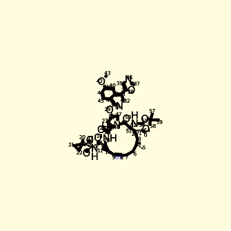 CC[C@@H]1C[C@H](C)CC/C=C\C2C[C@@]2(C(=O)NS(=O)(=O)C2(C)CC2)NC(=O)[C@@H]2C[C@@H](Oc3ncc(-c4cnco4)c4cc(OC)ccc34)CN2C(=O)[C@H]1NC(=O)OC(C)(C)C